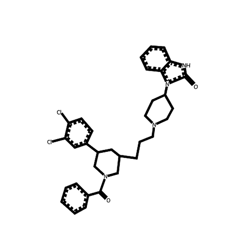 O=C(c1ccccc1)N1CC(CCCN2CCC(n3c(=O)[nH]c4ccccc43)CC2)CC(c2ccc(Cl)c(Cl)c2)C1